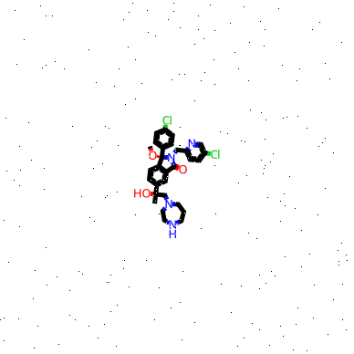 CO[C@]1(c2ccc(Cl)cc2)c2ccc(C(C)(O)CN3CCCNCC3)cc2C(=O)N1Cc1ccc(Cl)cn1